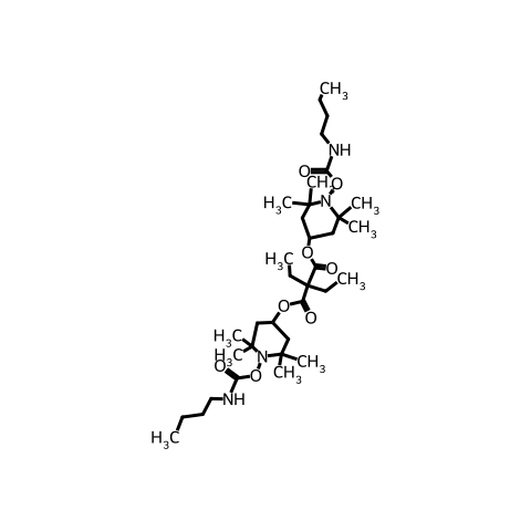 CCCCNC(=O)ON1C(C)(C)CC(OC(=O)C(CC)(CC)C(=O)OC2CC(C)(C)N(OC(=O)NCCCC)C(C)(C)C2)CC1(C)C